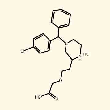 Cl.O=C(O)COCCC1CN(C(c2ccccc2)c2ccc(Cl)cc2)CCN1